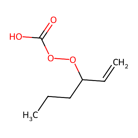 C=CC(CCC)OOC(=O)O